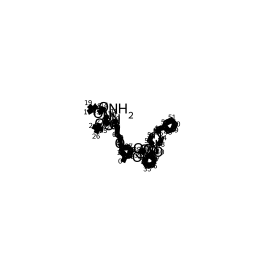 Cc1cc(OCCCON=C(N)N(C(=O)OC(C)(C)C)C(=O)OC(C)(C)C)cc(OS(=O)(=O)c2ccccc2S(=O)(=O)N2CCN(Cc3ccccc3)CC2)c1